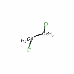 [Cl][GeH2][GeH2][Cl]